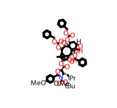 COc1ccc(C2O[C@@H](C(=O)O[C@H]3C[C@@]4(O)[C@@H](OC(=O)c5ccccc5)[C@@H]5[C@]6(O)CO[C@@H]6C[C@H](OC(=O)OCc6ccccc6)[C@@]5(C)C(=O)[C@H](OC(=O)OCc5ccccc5)C(=C3C)C4(C)C)[C@H](CC(C)C)N2C(=O)OC(C)(C)C)c(OC)c1